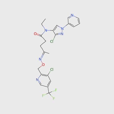 CCN(C(=O)CC/C(C)=N/OCc1ncc(C(F)(F)F)cc1Cl)c1cn(-c2cccnc2)nc1Cl